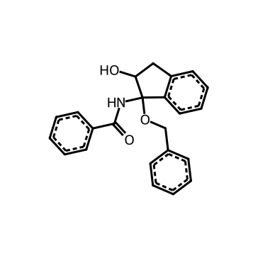 O=C(NC1(OCc2ccccc2)c2ccccc2CC1O)c1ccccc1